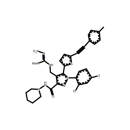 CN/C(=N\[N+](=O)[O-])NCc1c(C(=O)NN2CCCCC2)nn(-c2ccc(Cl)cc2Cl)c1-c1ccc(C#Cc2ccc(C)cc2)s1